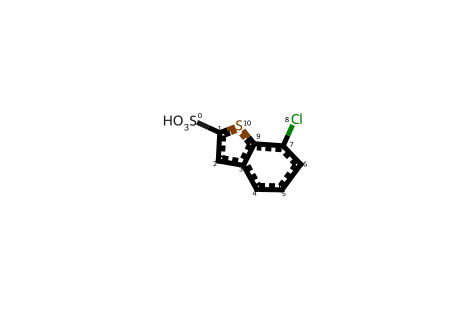 O=S(=O)(O)c1cc2cccc(Cl)c2s1